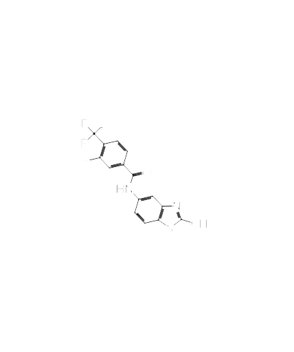 Cc1nc2cc(NC(=O)c3ccc(C(F)(F)F)c(F)c3)ccc2s1